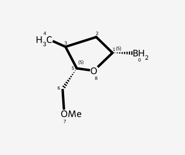 B[C@H]1CC(C)[C@@H](COC)O1